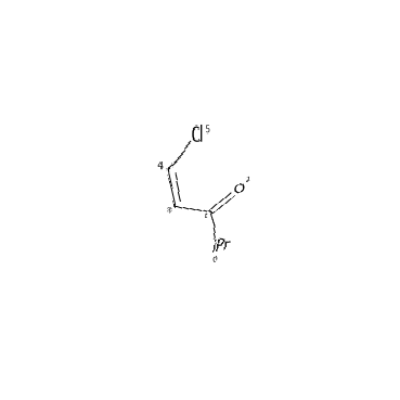 CC(C)C(=O)/C=C\Cl